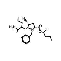 CCCC(F)OC(=O)[C@H]1C[C@@H](C#N)[C@@H](CC(CCC)C(C)N)N1Cc1ccccc1